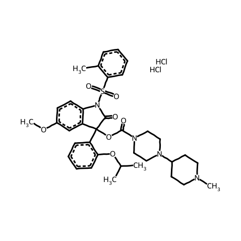 COc1ccc2c(c1)C(OC(=O)N1CCN(C3CCN(C)CC3)CC1)(c1ccccc1OC(C)C)C(=O)N2S(=O)(=O)c1ccccc1C.Cl.Cl